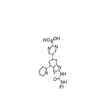 CCNC(=O)Nc1nc2cc(-c3cnc(B(O)O)nc3)cc(-c3ccccn3)c2s1